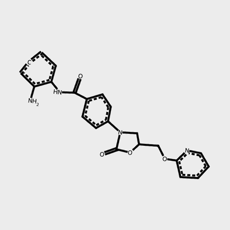 Nc1ccccc1NC(=O)c1ccc(N2CC(COc3ccccn3)OC2=O)cc1